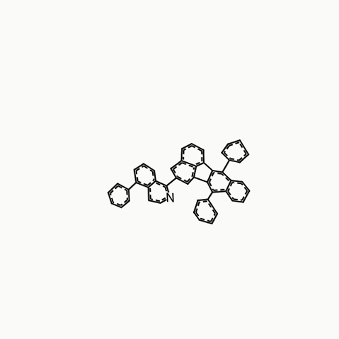 c1ccc(-c2cccc3c(-c4cc5c6c(cccc6c4)-c4c-5c(-c5ccccc5)c5ccccc5c4-c4ccccc4)nccc23)cc1